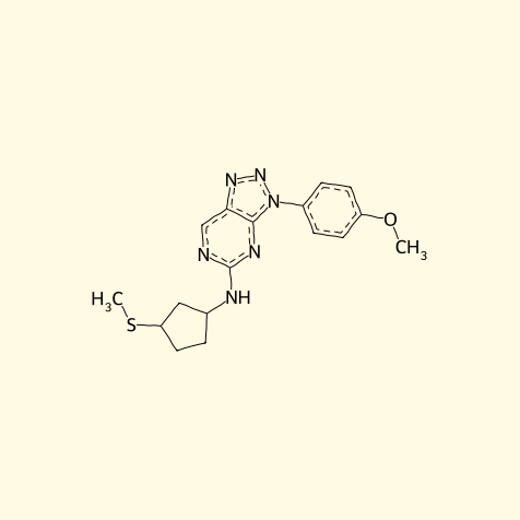 COc1ccc(-n2nnc3cnc(NC4CCC(SC)C4)nc32)cc1